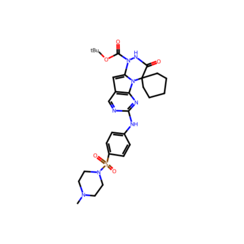 CN1CCN(S(=O)(=O)c2ccc(Nc3ncc4cc5n(c4n3)C3(CCCCC3)C(=O)NN5C(=O)OC(C)(C)C)cc2)CC1